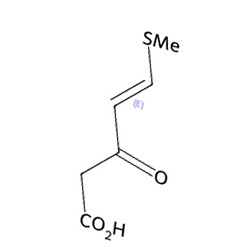 CS/C=C/C(=O)CC(=O)O